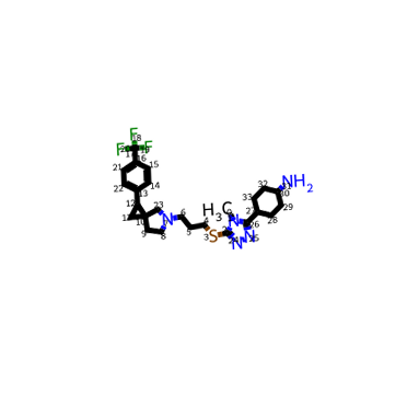 Cn1c(SCCCN2CCC3(CC3c3ccc(C(F)(F)F)cc3)C2)nnc1C1CCC(N)CC1